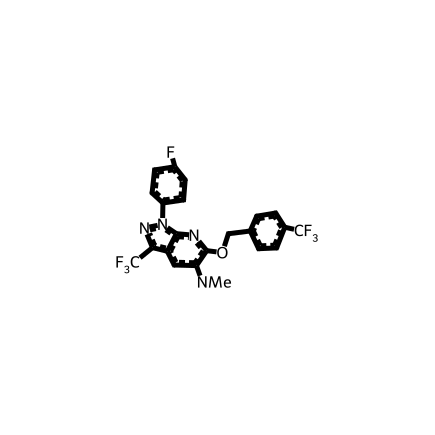 CNc1cc2c(C(F)(F)F)nn(-c3ccc(F)cc3)c2nc1OCc1ccc(C(F)(F)F)cc1